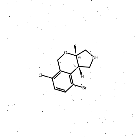 C[C@@]12CNC[C@@H]1c1c(Br)ccc(Cl)c1CO2